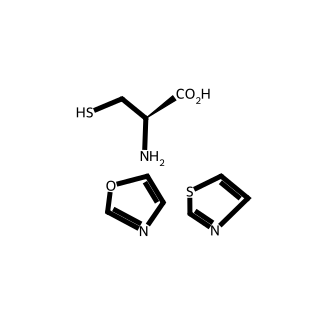 N[C@@H](CS)C(=O)O.c1cocn1.c1cscn1